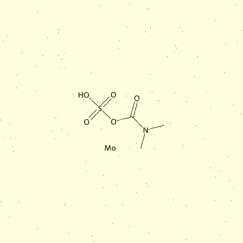 CN(C)C(=O)OS(=O)(=O)O.[Mo]